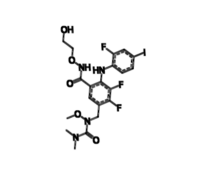 CON(Cc1cc(C(=O)NOCCO)c(Nc2ccc(I)cc2F)c(F)c1F)C(=O)N(C)C